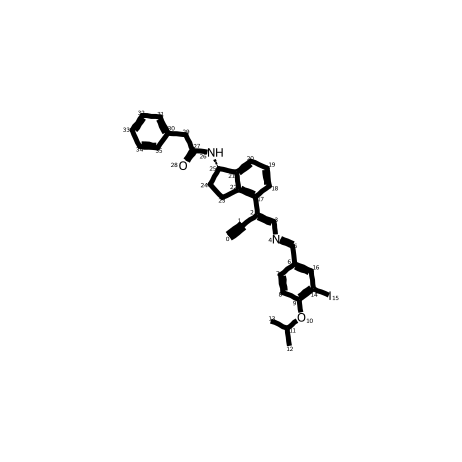 C#C/C(=C\N=C\c1ccc(OC(C)C)c(I)c1)c1cccc2c1CC[C@@H]2NC(=O)Cc1ccccc1